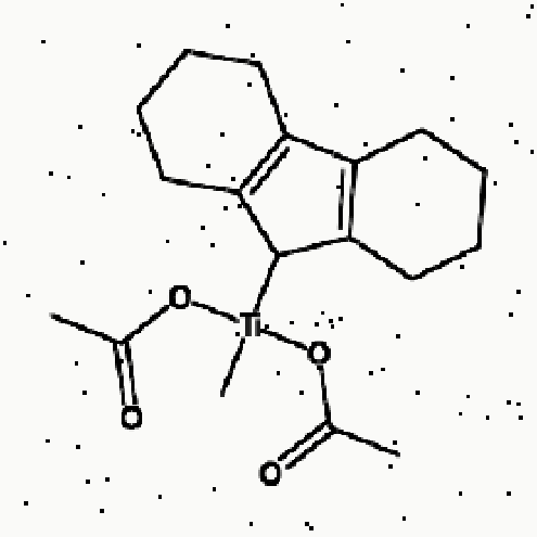 CC(=O)[O][Ti]([CH3])([O]C(C)=O)[CH]1C2=C(CCCC2)C2=C1CCCC2